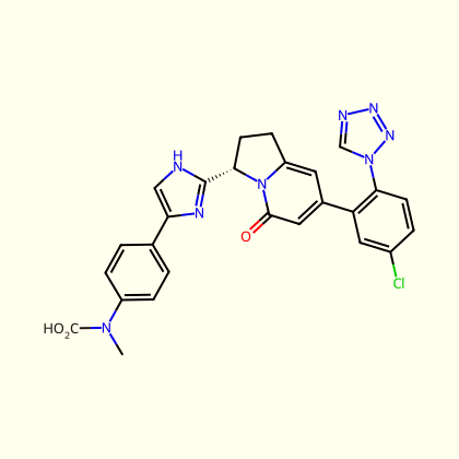 CN(C(=O)O)c1ccc(-c2c[nH]c([C@@H]3CCc4cc(-c5cc(Cl)ccc5-n5cnnn5)cc(=O)n43)n2)cc1